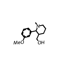 COc1cccc(C2C(CO)CCCN2C)c1